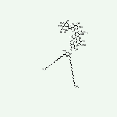 CCCCCCCCCCCCC/C=C/[C@@H](O)[C@H](CO[C@@H]1OC(CO)[C@@H](O[C@@H]2OC(CO)[C@H](O)[C@H](O[C@@H]3OC(CO)[C@@H](O)[C@H](O[C@@H]4OC(CO[C@]5(C(=O)O)CC(O)[C@@H](O)C([C@H](O)[C@H](O)CO)O5)[C@H](O)[C@H](O)C4O)C3NC(C)=O)C2O)[C@H](O)C1O)NC(=O)CCCCCCCCCCCCCCCCC